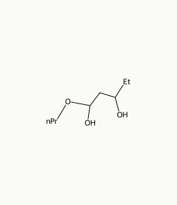 CCCOC(O)CC(O)CC